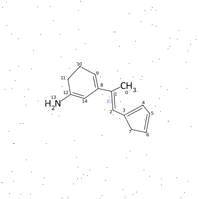 C/C(=C\C1=CC=CC1)C1=CCCC(N)=C1